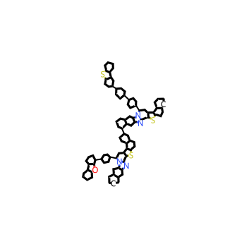 c1ccc2cc3c(cc2c1)nc1c2sc4ccc5cc(-c6cccc7cc8c(cc67)nc6c7sc9ccc%10ccccc%10c9c7cc(-c7ccc(-c9ccc(-c%10ccc%11sc%12ccccc%12c%11c%10)cc9)cc7)n86)ccc5c4c2cc(-c2ccc(-c4cccc5c4oc4ccccc45)cc2)n31